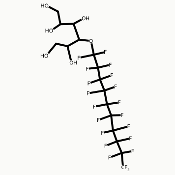 OCC(O)C(O)C(OC(F)(F)C(F)(F)C(F)(F)C(F)(F)C(F)(F)C(F)(F)C(F)(F)C(F)(F)C(F)(F)C(F)(F)F)C(O)CO